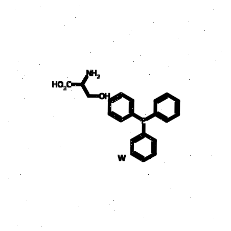 NC(CO)C(=O)O.[W].c1ccc(P(c2ccccc2)c2ccccc2)cc1